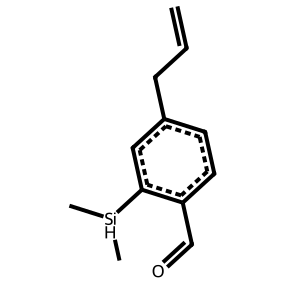 C=CCc1ccc(C=O)c([SiH](C)C)c1